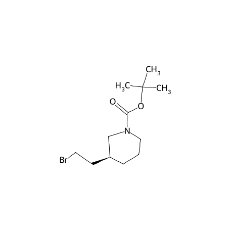 CC(C)(C)OC(=O)N1CCC[C@@H](CCBr)C1